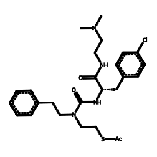 CC(=O)SCCN(CCc1ccccc1)C(=O)N[C@@H](Cc1ccc(Cl)cc1)C(=O)NCCN(C)C